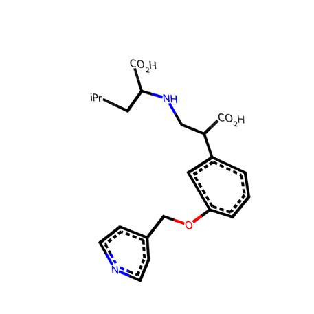 CC(C)CC(NCC(C(=O)O)c1cccc(OCc2ccncc2)c1)C(=O)O